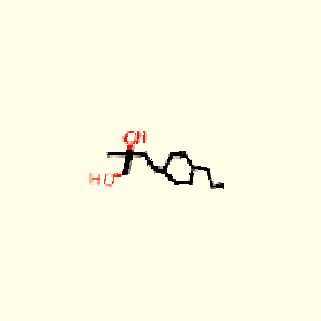 CCCC1CCC(CCC(C)(O)CO)CC1